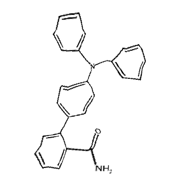 NC(=O)c1ccccc1-c1ccc(N(c2ccccc2)c2ccccc2)cc1